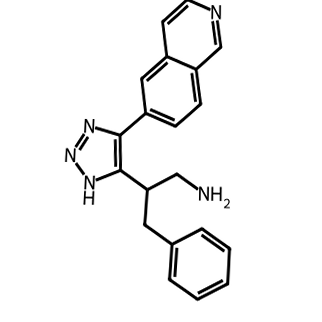 NCC(Cc1ccccc1)c1[nH]nnc1-c1ccc2cnccc2c1